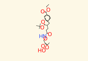 CCOC(=O)c1ccc(CC(CCC(=O)NOCC2=C(C)OC(O)O2)C(=O)OC(C)(C)C)cc1